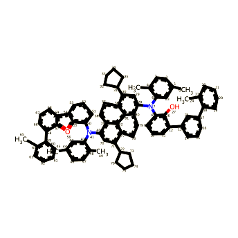 Cc1ccc(C)c(N(c2cccc(-c3cccc(-c4ccccc4C)c3)c2O)c2cc(C3CCCC3)c3ccc4c(N(c5cc(C)ccc5C)c5cccc6c5oc5c(-c7ccccc7C)cccc56)cc(C5CCCC5)c5ccc2c3c54)c1